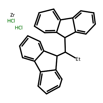 CCC(C1c2ccccc2-c2ccccc21)C1c2ccccc2-c2ccccc21.Cl.Cl.[Zr]